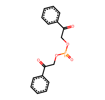 O=C(CO[PH](=O)OCC(=O)c1ccccc1)c1ccccc1